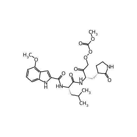 COC(=O)OOCC(=O)[C@H](C[C@@H]1CCNC1=O)NC(=O)[C@H](CC(C)C)NC(=O)c1cc2c(OC)cccc2[nH]1